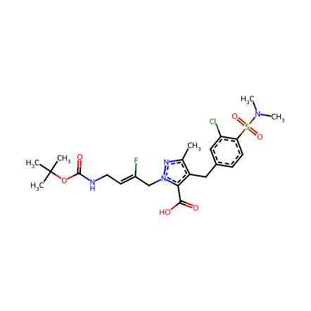 Cc1nn(C/C(F)=C/CNC(=O)OC(C)(C)C)c(C(=O)O)c1Cc1ccc(S(=O)(=O)N(C)C)c(Cl)c1